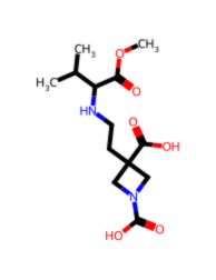 COC(=O)C(NCCC1(C(=O)O)CN(C(=O)O)C1)C(C)C